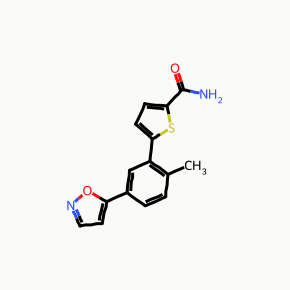 Cc1ccc(-c2ccno2)cc1-c1ccc(C(N)=O)s1